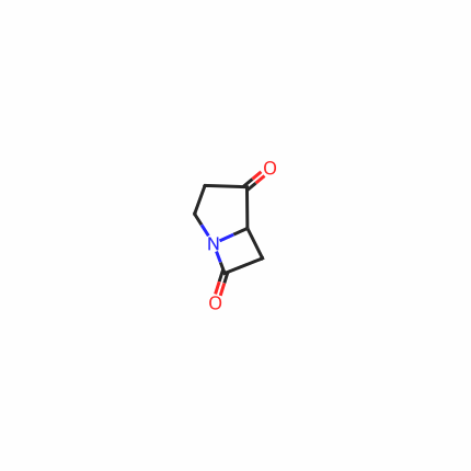 O=C1CCN2C(=O)CC12